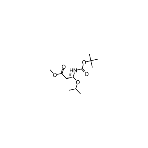 COC(=O)C[C@@H](NC(=O)OC(C)(C)C)OC(C)C